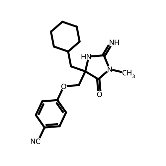 CN1C(=N)NC(COc2ccc(C#N)cc2)(CC2CCCCC2)C1=O